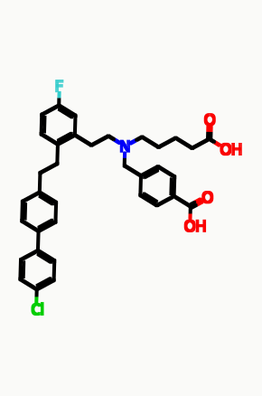 O=C(O)CCCCN(CCc1cc(F)ccc1CCc1ccc(-c2ccc(Cl)cc2)cc1)Cc1ccc(C(=O)O)cc1